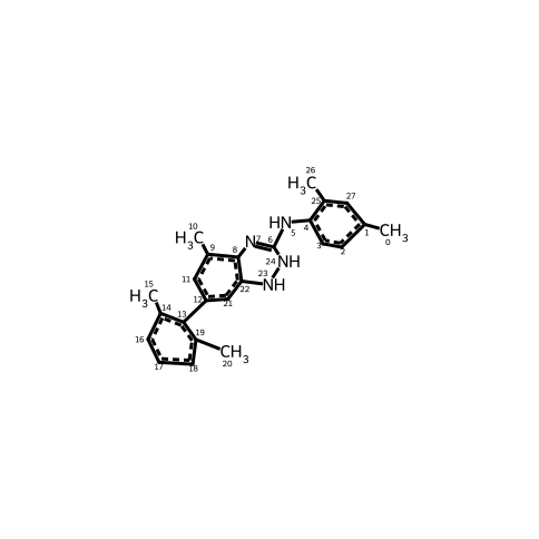 Cc1ccc(NC2=Nc3c(C)cc(-c4c(C)cccc4C)cc3NN2)c(C)c1